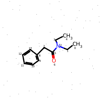 CCN(CC)C(=O)[CH]c1ccccc1